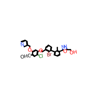 Cc1c(-c2nnc(CO)o2)cccc1-c1cccc(COc2cc(OCc3cccnc3)c(C=O)cc2Cl)c1Br